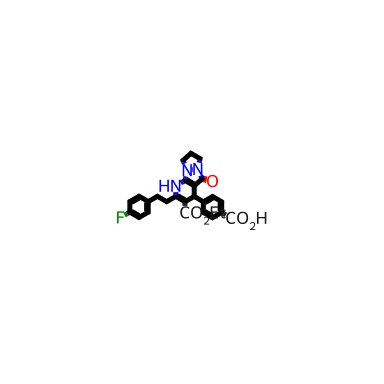 CCOC(=O)C1=C(CCc2ccc(F)cc2)Nc2c(c(=O)n3n2CCC3)C1c1ccc(C(=O)O)cc1